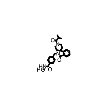 CC(C)C(=O)N1CCC2(CC1)c1ccccc1C(=O)N2Cc1ccc(C(=O)NO)cc1